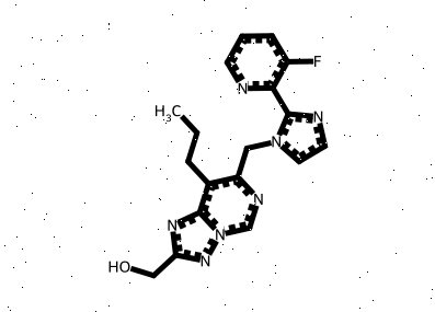 CCCc1c(Cn2ccnc2-c2ncccc2F)ncn2nc(CO)nc12